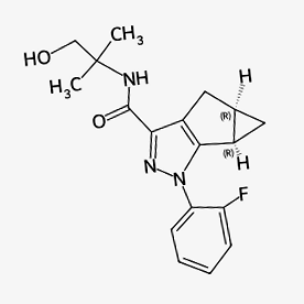 CC(C)(CO)NC(=O)c1nn(-c2ccccc2F)c2c1C[C@H]1C[C@@H]21